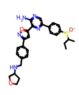 CCC(C)[S+]([O-])c1ccc(-c2cnc(N)c(-c3cc(-c4ccc(CNC5CCOC5)cc4)no3)n2)cc1